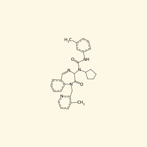 Cc1cccc(NC(=O)N(C2CCCC2)C2N=Cc3ccccc3N(Cc3ncccc3C)C2=O)c1